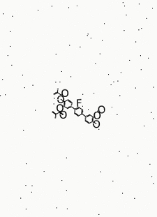 C=C(C)C(=O)Oc1ccc(-c2ccc(-c3ccc(OC)c(OC=O)c3)cc2F)cc1OC(=O)C(=C)C